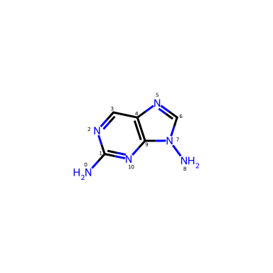 Nc1ncc2ncn(N)c2n1